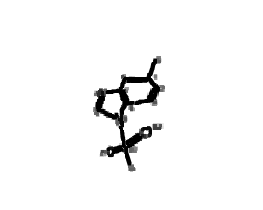 Cc1ccc2c(c1)ncn2S(C)(=O)=O